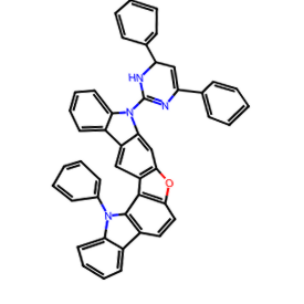 C1=C(c2ccccc2)N=C(n2c3ccccc3c3cc4c(cc32)oc2ccc3c5ccccc5n(-c5ccccc5)c3c24)NC1c1ccccc1